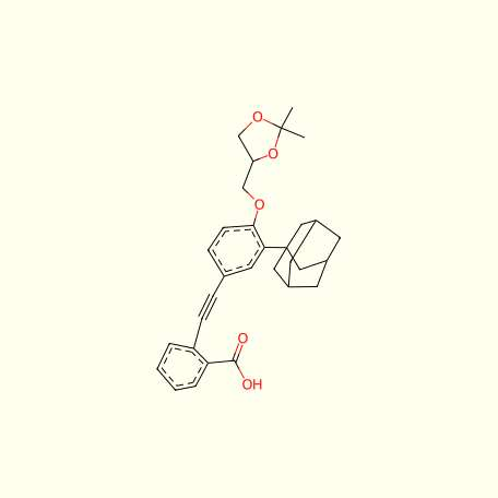 CC1(C)OCC(COc2ccc(C#Cc3ccccc3C(=O)O)cc2C23CC4CC(CC(C4)C2)C3)O1